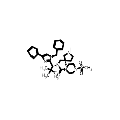 CC(C)(C)[C@H](c1nc(-c2ccccc2)cn1Cc1ccccc1)N(C[C@]1(F)CCNC1)C(=O)N1CCN(S(C)(=O)=O)CC1